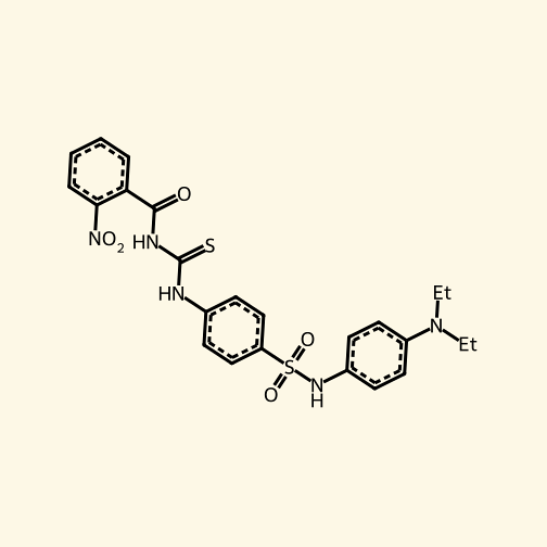 CCN(CC)c1ccc(NS(=O)(=O)c2ccc(NC(=S)NC(=O)c3ccccc3[N+](=O)[O-])cc2)cc1